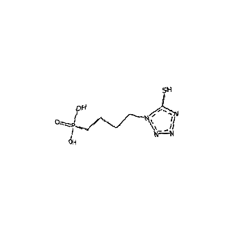 O=P(O)(O)CCCCn1nnnc1S